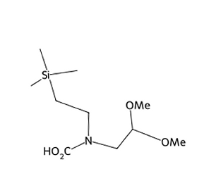 COC(CN(CC[Si](C)(C)C)C(=O)O)OC